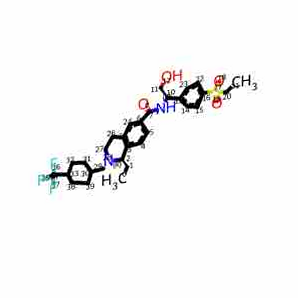 CC[C@@H]1c2ccc(C(=O)N[C@@H](CO)c3ccc(S(=O)(=O)CC)cc3)cc2CCN1CC1CCC(C(F)(F)F)CC1